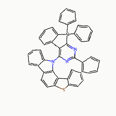 c1ccc(-c2nc(-n3c4ccccc4c4ccc5sc6ccccc6c5c43)c3c(n2)[Si](c2ccccc2)(c2ccccc2)c2ccccc2-3)cc1